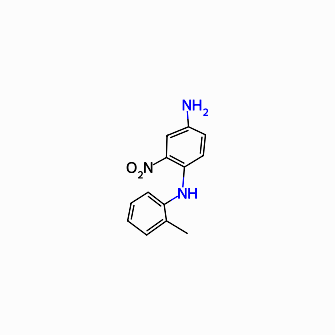 Cc1ccccc1Nc1ccc(N)cc1[N+](=O)[O-]